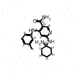 Cc1cccc(Nc2cc(NC3(N)CCCCC3)ncc2C(N)=O)c1